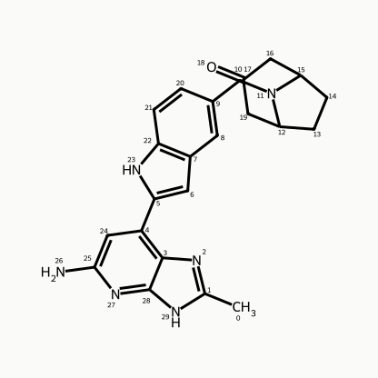 Cc1nc2c(-c3cc4cc(CN5C6CCC5CC(=O)C6)ccc4[nH]3)cc(N)nc2[nH]1